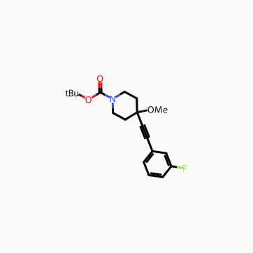 COC1(C#Cc2cccc(F)c2)CCN(C(=O)OC(C)(C)C)CC1